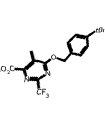 Cc1c(OCc2ccc(C(C)(C)C)cc2)nc(C(F)(F)F)nc1C(=O)O